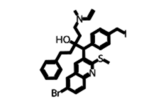 C=CN(C)CCC(O)(CCc1ccccc1)C(c1ccc(CI)cc1)c1cc2cc(Br)ccc2nc1SC